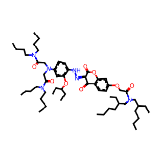 CCCCC(CC)CN(CC(CC)CCCC)C(=O)COc1ccc2c(c1)OC(=O)/C(=N\Nc1ccc(N(CC(=O)N(CCCC)CCCC)CC(=O)N(CCCC)CCCC)cc1OC(CC)CC)C2=O